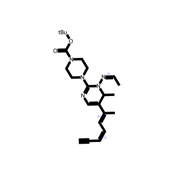 C#C/C=C\C=C(/C)C1=CN=C(N2CCN(C(=O)OC(C)(C)C)CC2)N(/N=C\C)C1C